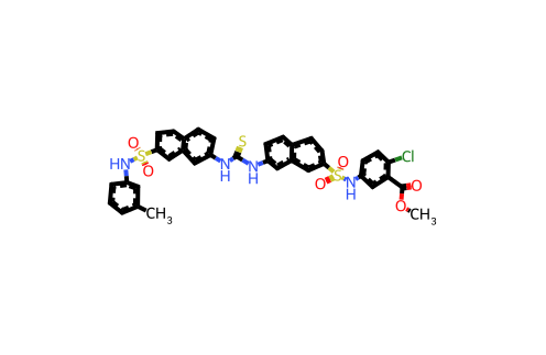 COC(=O)c1cc(NS(=O)(=O)c2ccc3ccc(NC(=S)Nc4ccc5ccc(S(=O)(=O)Nc6cccc(C)c6)cc5c4)cc3c2)ccc1Cl